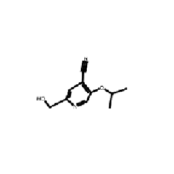 CC(C)Oc1cnc(CO)cc1C#N